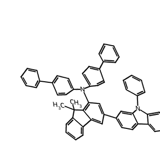 CC1(C)c2ccccc2-c2cc(-c3ccc4c5ccccc5n(-c5ccccc5)c4c3)cc(N(c3ccc(-c4ccccc4)cc3)c3ccc(-c4ccccc4)cc3)c21